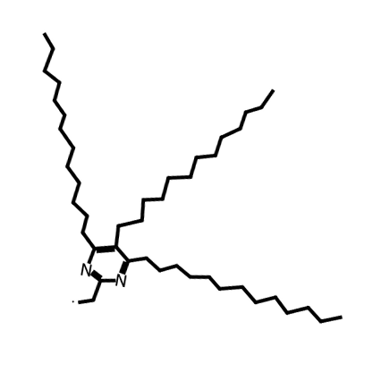 [CH2]Cc1nc(CCCCCCCCCCCCC)c(CCCCCCCCCCCCC)c(CCCCCCCCCCCCC)n1